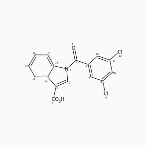 O=C(O)c1cn(C(=O)c2cc(Cl)cc(Cl)c2)c2ccccc12